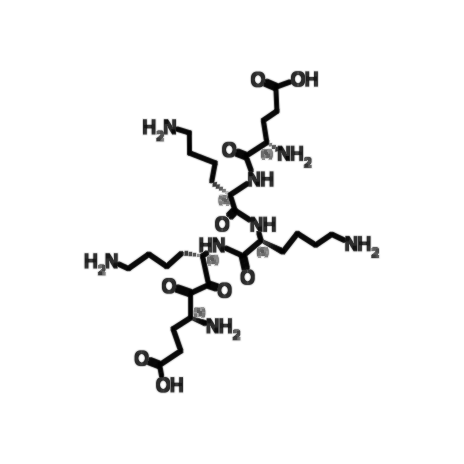 NCCCC[C@H](NC(=O)[C@H](CCCCN)NC(=O)[C@@H](N)CCC(=O)O)C(=O)N[C@@H](CCCCN)C(=O)C(=O)[C@@H](N)CCC(=O)O